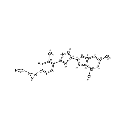 O=C(O)C1CC1c1ccc(-c2noc(-c3cn4cc(C(F)(F)F)cc(Cl)c4n3)n2)c(C(F)(F)F)c1